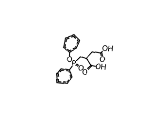 O=C(O)CC(CP(=O)(Oc1ccccc1)c1ccccc1)C(=O)O